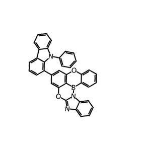 c1ccc(-n2c3ccccc3c3cccc(-c4cc5c6c(c4)Oc4nc7ccccc7n4B6c4ccccc4O5)c32)cc1